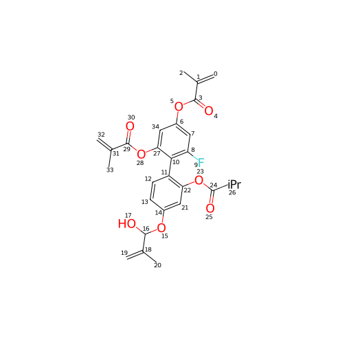 C=C(C)C(=O)Oc1cc(F)c(-c2ccc(OC(O)C(=C)C)cc2OC(=O)C(C)C)c(OC(=O)C(=C)C)c1